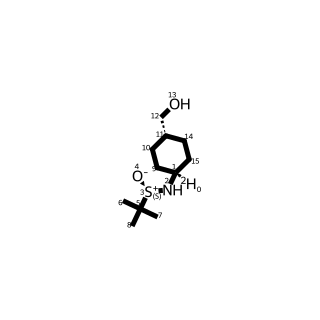 [2H][C@]1(N[S@+]([O-])C(C)(C)C)CC[C@H](CO)CC1